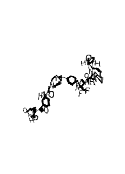 O=C1CC[C@H](c2coc3ccc(NC(=O)CN4CCN(C[C@H]5CC[C@H](n6cc(NC(=O)c7cnn8ccc(N9C[C@@H]%10C[C@H]9CO%10)nc78)c(C(F)F)n6)CC5)CC4)cc23)C(=O)N1